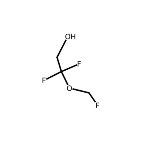 OCC(F)(F)OCF